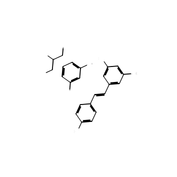 OCC(O)CO.Oc1ccc(C=Cc2cc(O)cc(O)c2)cc1.Oc1cccc(O)c1